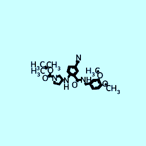 COc1ccc(CNC(=O)c2cc(C#N)ccc2N[C@@H]2CCN(C(=O)OC(C)(C)C)C2)cc1OC